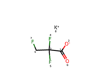 O=C([O-])C(F)(F)CF.[K+]